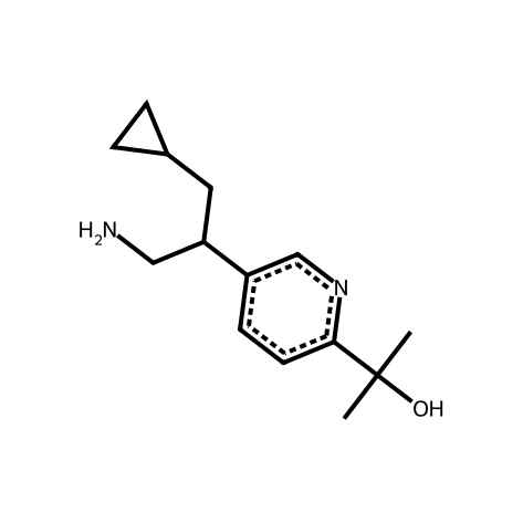 CC(C)(O)c1ccc(C(CN)CC2CC2)cn1